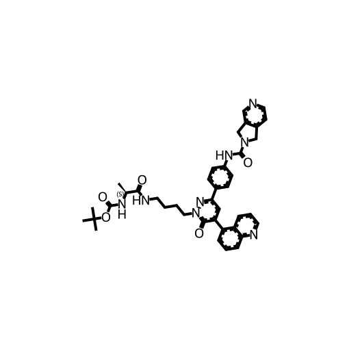 C[C@H](NC(=O)OC(C)(C)C)C(=O)NCCCCn1nc(-c2ccc(NC(=O)N3Cc4ccncc4C3)cc2)cc(-c2cccc3ncccc23)c1=O